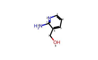 Nc1nc[c]cc1CO